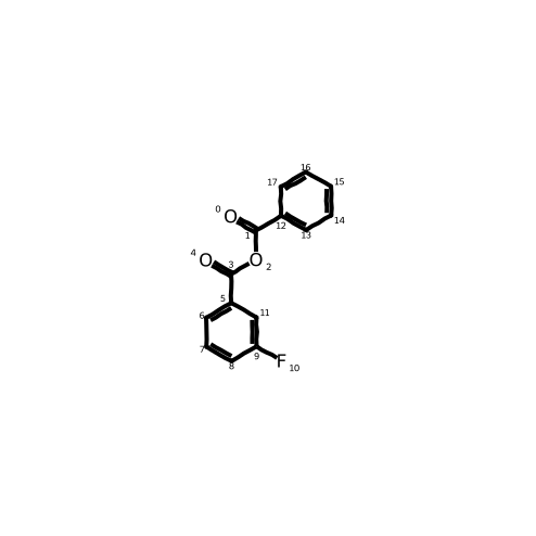 O=C(OC(=O)c1cccc(F)c1)c1ccccc1